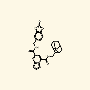 O=C(NCc1ccc2oc(=O)[nH]c2c1)c1cc(C(=O)NCC2C3CC4CC(C3)CC2C4)n2nccc2n1